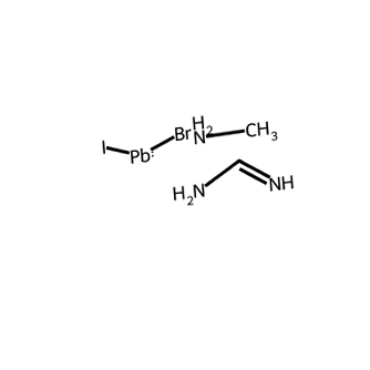 CN.N=CN.[Br][Pb][I]